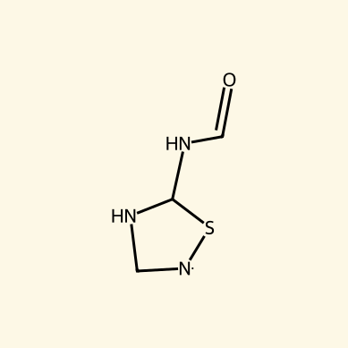 O=CNC1NC[N]S1